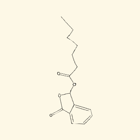 CCCCCCC(=O)OC1OC(=O)c2ccccc21